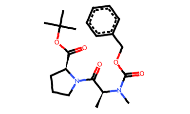 C[C@@H](C(=O)N1CCC[C@H]1C(=O)OC(C)(C)C)N(C)C(=O)OCc1ccccc1